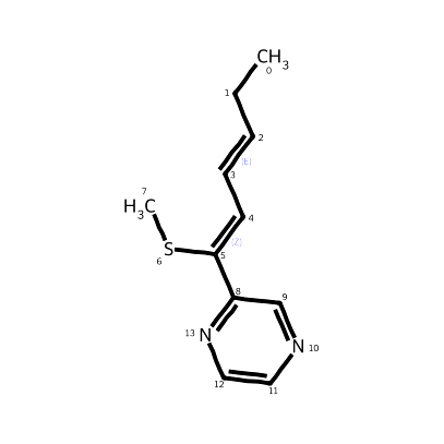 CC/C=C/C=C(\SC)c1cnccn1